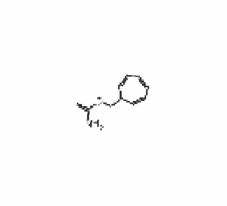 C=C(N)OCC1C=CC=CC=C1